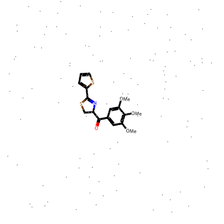 COc1cc(C(=O)C2CSC(c3cccs3)=N2)cc(OC)c1OC